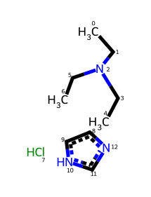 CCN(CC)CC.Cl.c1c[nH]cn1